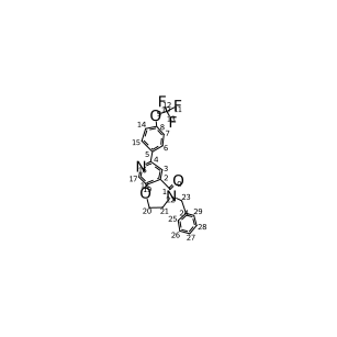 O=C1c2cc(-c3ccc(OC(F)(F)F)cc3)ncc2OCCN1Cc1ccccc1